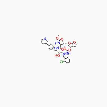 COC(=O)NC(C(=O)NC(Cc1ccc(-c2cccnc2)cc1)C(O)CN(Cc1ccccc1Cl)NC(=O)OC1COC2OCCC12)C(C)(C)C